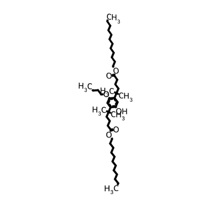 CCCCCCCCCCCCOC(=O)CCCC(C)(C)c1cc(OCCCC)c(C(C)(C)CCCC(=O)OCCCCCCCCCCCC)cc1O